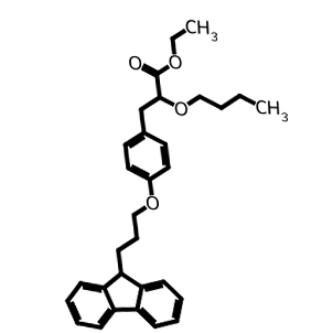 CCCCOC(Cc1ccc(OCCCC2c3ccccc3-c3ccccc32)cc1)C(=O)OCC